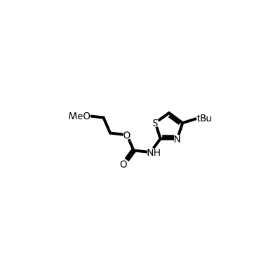 COCCOC(=O)Nc1nc(C(C)(C)C)cs1